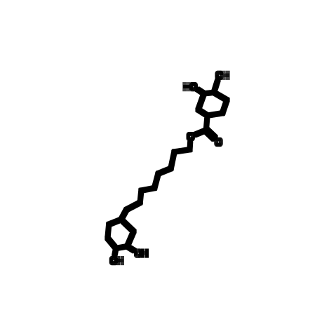 O=C(OCCCCCCCCC1CCC(O)C(O)C1)C1CCC(O)C(O)C1